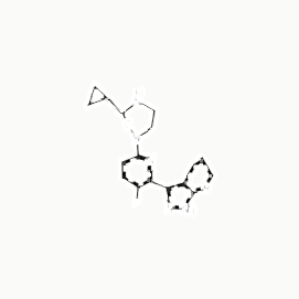 Fc1ccc(N2CCNC(C3CC3)C2)nc1-c1n[nH]c2ncccc12